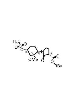 CO[C@H]1C[C@H](OS(C)(=O)=O)CC[C@H]1N1CC[C@H](C(=O)OC(C)(C)C)C1=O